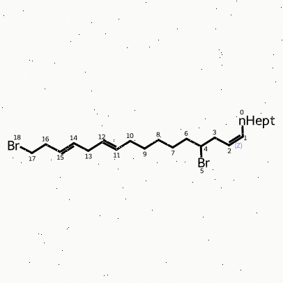 CCCCCCC/C=C\CC(Br)CCCCCC=CCC=CCCBr